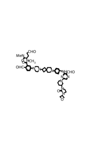 CNC(=O)C(CCC=O)N(C)C(=O)c1cc(N2CCN(C3CC4(CCN(c5ccc(Nc6nc(N7CCCC(N8CCN(C9COC9)C8=O)C7)cnc6C=O)cc5)CC4)C3)CC2)ccc1C=O